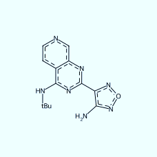 CC(C)(C)Nc1nc(-c2nonc2N)nc2cnccc12